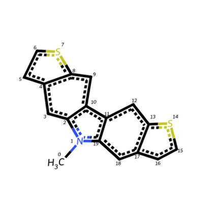 Cn1c2cc3ccsc3cc2c2cc3sccc3cc21